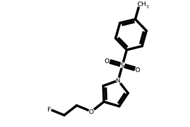 Cc1ccc(S(=O)(=O)n2ccc(OCCF)c2)cc1